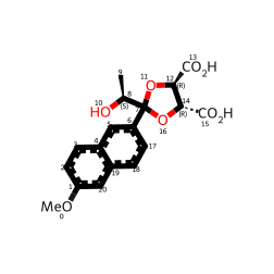 COc1ccc2cc(C3([C@H](C)O)O[C@@H](C(=O)O)[C@H](C(=O)O)O3)ccc2c1